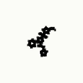 Cn1cnc(S(=O)(=O)N2C[C@H](NCc3cncs3)[C@@H](c3ccccc3)C2)c1